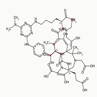 CCN(C)C/C(O)=C\C12C=C(O)CN(C)C(Cc3ccc(Nc4nc(NCCCC[C@H](NC(=O)CC[C@H](NC(=O)N[C@@H](CCC(=O)O)C(=O)O)C(=O)O)C(=O)O)nc(N(C)C)n4)cc3)C1CN(CC(=O)O)CCN(CC(=O)O)C2(C)C